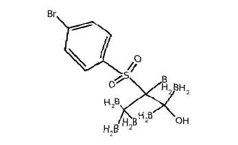 BC(B)(B)C(B)(C(B)(B)O)S(=O)(=O)c1ccc(Br)cc1